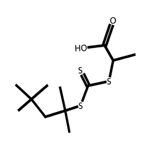 CC(SC(=S)SC(C)(C)CC(C)(C)C)C(=O)O